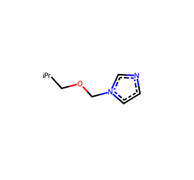 CC(C)COCn1ccnc1